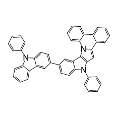 c1ccc(-n2c3ccccc3c3cc(-c4ccc5c(c4)c4c(cc6c7ccccc7c7ccccc7n64)n5-c4ccccc4)ccc32)cc1